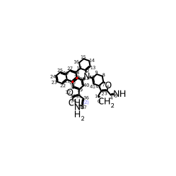 C=CC1=C(C=N)OC2CCC(N(C3=CCCCC3c3ccc4ccccc4c3)c3ccc4oc(C)c(/C=C\N)c4c3)=CC12